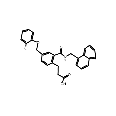 O=C(O)CCc1ccc(COc2ccccc2Cl)cc1C(=O)NCc1cccc2ccccc12